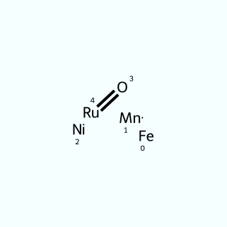 [Fe].[Mn].[Ni].[O]=[Ru]